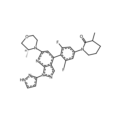 CC1CCCN(c2cc(F)c(-c3cc(N4CCOC[C@H]4C)nc4c3cnn4-c3cc[nH]n3)c(F)c2)C1=O